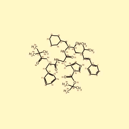 CC(C)[C@@H](/C=C/c1ccccc1)C[C@H](O)[C@H](CC1CCCCC1)NC(=O)[C@H](Cc1cncn1C(=O)OC(C)(C)C)NC(=O)[C@@H](CC(=O)C(C)(C)C)Cc1ccccc1